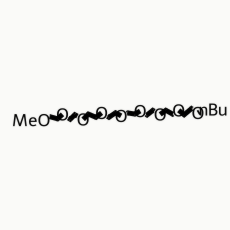 CCCCOCCOCCOCCOCCOCCOCCOCCOCCOC